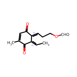 C/C=C1/C(=O)C(C)=CC(=O)/C1=C/CCOC=O